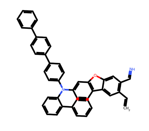 C=Cc1cc2c(cc1C=N)oc1cc(N(c3ccc(-c4ccc(-c5ccccc5)cc4)cc3)c3ccccc3-c3ccccc3)ccc12